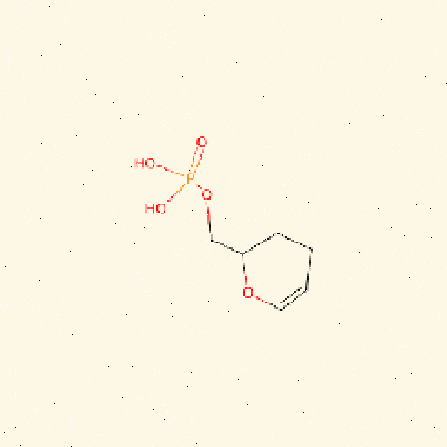 O=P(O)(O)OCC1CCC=CO1